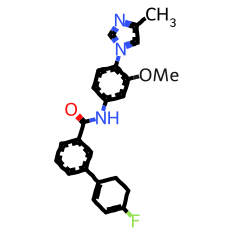 COc1cc(NC(=O)c2cccc(C3=CC=C(F)CC3)c2)ccc1-n1cnc(C)c1